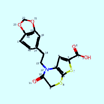 O=C(O)c1cc2c(s1)SCC(=O)N2CCc1ccc2c(c1)OCO2